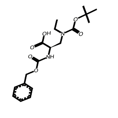 CCN(C[C@@H](NC(=O)OCc1ccccc1)C(=O)O)C(=O)OC(C)(C)C